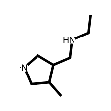 CCNCC1C[N]CC1C